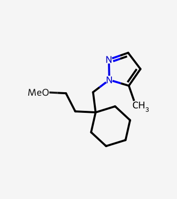 COCCC1(Cn2nccc2C)CCCCC1